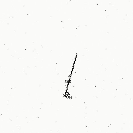 CCCCCCCCCCCCCCCCCCOCCOC(=O)CCCCCCc1cc(C)c(O)c(C(C)(C)C)c1